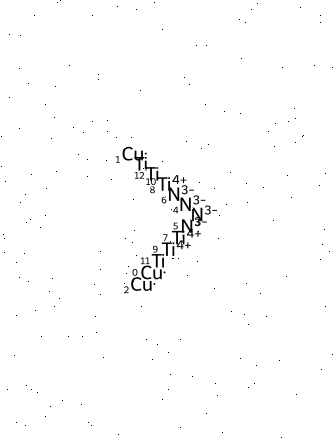 [Cu].[Cu].[Cu].[N-3].[N-3].[N-3].[N-3].[Ti+4].[Ti+4].[Ti+4].[Ti].[Ti].[Ti]